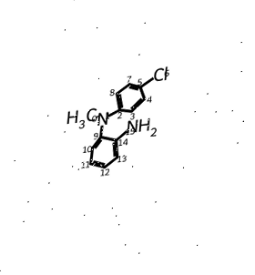 CN(c1ccc(Cl)cc1)c1ccccc1N